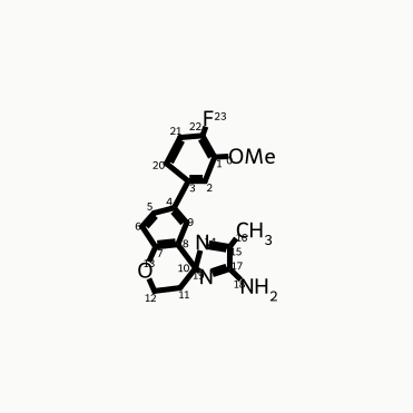 COc1cc(-c2ccc3c(c2)C2(CCO3)N=C(C)C(N)=N2)ccc1F